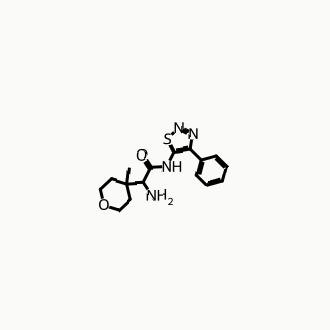 CC1(C(N)C(=O)Nc2snnc2-c2ccccc2)CCOCC1